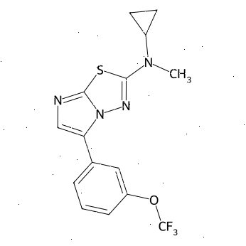 CN(c1nn2c(-c3cccc(OC(F)(F)F)c3)cnc2s1)C1CC1